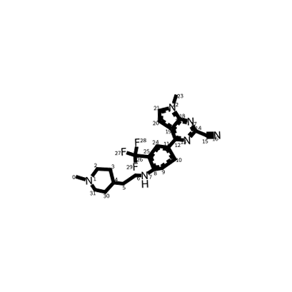 CN1CCC(CCNc2ccc(-c3nc(C#N)nc4c3ccn4C)cc2C(F)(F)F)CC1